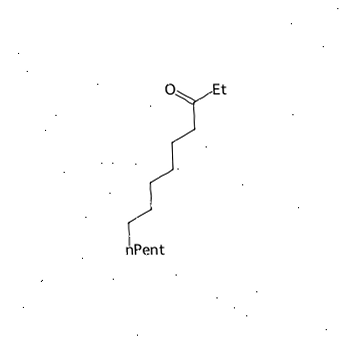 [CH2]CCCCCCCCCCC(=O)CC